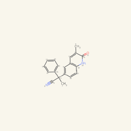 Cc1cc2cc(C(C)(C#N)c3ccccc3)ccc2[nH]c1=O